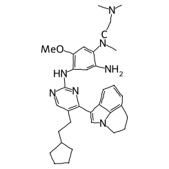 COc1cc(N(C)CCN(C)C)c(N)cc1Nc1ncc(CCC2CCCC2)c(-c2cn3c4c(cccc24)CCC3)n1